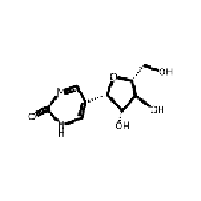 O=c1ncc([C@@H]2O[C@H](CO)C(O)[C@@H]2O)c[nH]1